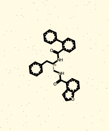 O=C(N[C@H](CNC(=O)c1cccc2occc12)Cc1ccccc1)c1ccccc1-c1ccccc1